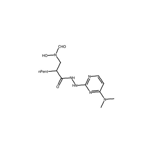 CCCCCC(CN(O)C=O)C(=O)NNc1nccc(N(C)C)n1